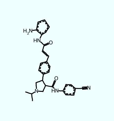 CC(C)N1CC(C(=O)Nc2ccc(C#N)cc2)C(c2ccc(/C=C/C(=O)Nc3ccccc3N)cc2)C1